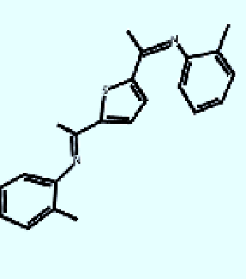 CC(=Nc1ccccc1C)c1ccc(C(C)=Nc2ccccc2C)s1